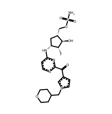 NS(=O)(=O)OC[C@H]1C[C@@H](Nc2ccnc(C(=O)c3ccn(CC4CCOCC4)c3)n2)[C@@H](F)[C@@H]1O